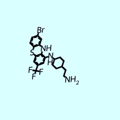 NCCC1CCC(Nc2cc(C(F)(F)F)cc3c2Nc2cc(Br)ccc2S3)CC1